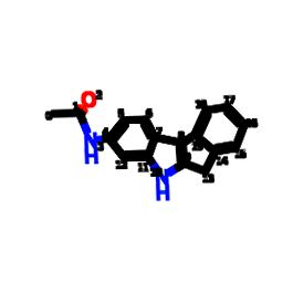 CC(=O)Nc1ccc2c3c([nH]c2c1)Cc1ccccc1-3